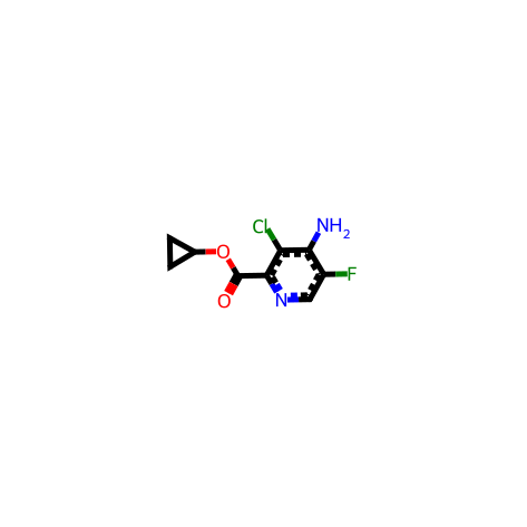 Nc1c(F)cnc(C(=O)OC2CC2)c1Cl